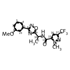 COc1cccc(-c2noc(C(C)NC(=O)c3cc(C(F)(F)F)nn3C)n2)c1